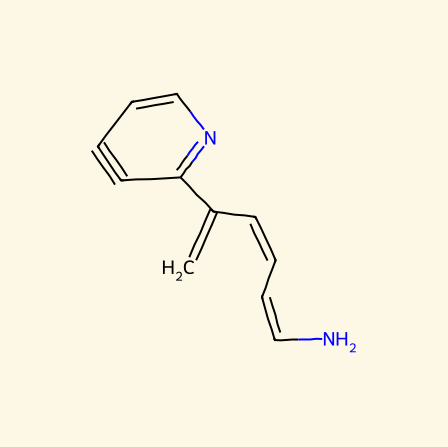 C=C(/C=C\C=C/N)c1c#cccn1